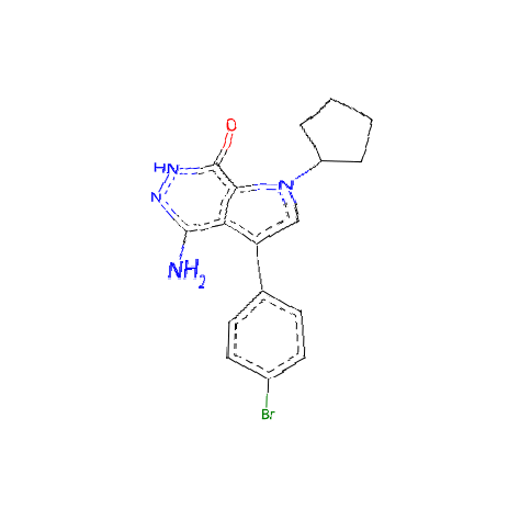 Nc1n[nH]c(=O)c2c1c(-c1ccc(Br)cc1)cn2C1CCCC1